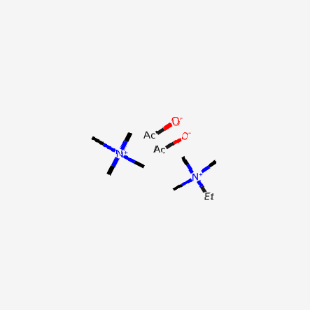 CC(=O)[O-].CC(=O)[O-].CC[N+](C)(C)C.C[N+](C)(C)C